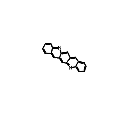 c1ccc2nc3cc4cc5ccccc5nc4cc3cc2c1